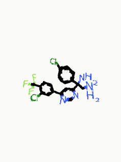 NCC(N)(c1ccc(Cl)cc1)c1cc(-c2ccc(C(F)(F)F)c(Cl)c2)ncn1